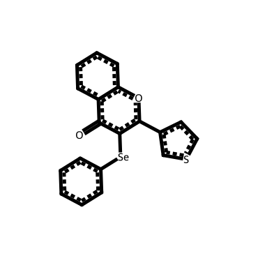 O=c1c([Se]c2ccccc2)c(-c2ccsc2)oc2ccccc12